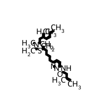 C=C(/C=C\C(=C/C)CC(=C)N(C)C(=C)SC(=C)CCCCc1ccc(NC(=O)C/C(C)=C/C)nn1)CC